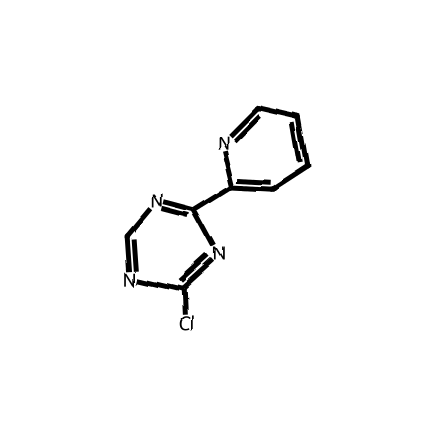 Clc1ncnc(-c2ccccn2)n1